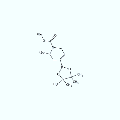 CC(C)(C)OC(=O)N1CC=C(B2OC(C)(C)C(C)(C)O2)CC1C(C)(C)C